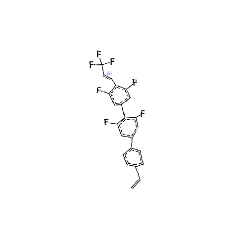 C=Cc1ccc(-c2cc(F)c(-c3cc(F)c(/C=C/C(F)(F)F)c(F)c3)c(F)c2)cc1